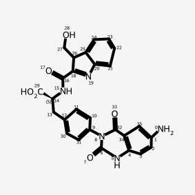 Nc1ccc2[nH]c(=O)n(-c3ccc(C[C@H](NC(=O)C4=Nc5ccccc5C4CO)C(=O)O)cc3)c(=O)c2c1